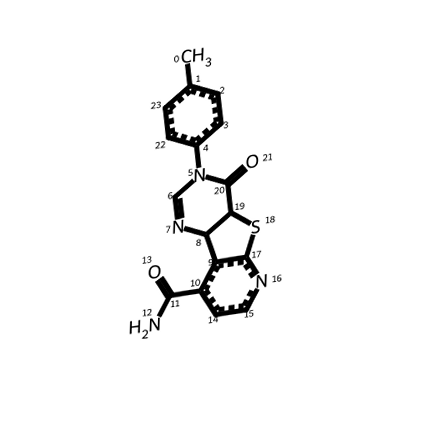 Cc1ccc(N2C=NC3c4c(C(N)=O)ccnc4SC3C2=O)cc1